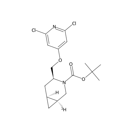 [2H][C@]12C[C@H]1C[C@@H](COc1cc(Cl)nc(Cl)c1)N(C(=O)OC(C)(C)C)C2